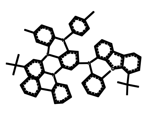 Cc1ccc(N2c3ccc(C)cc3B3c4cc(C(C)(C)C)ccc4N(c4ccccc4-c4ccccc4)c4cc(N(c5ccccc5C)c5cccc6c5oc5c(C(C)(C)C)cccc56)cc2c43)cc1